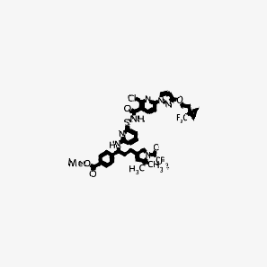 COC(=O)c1ccc(C(CCC2CN(C(=O)C(F)(F)F)C(C)(C)C2)Nc2cccc(SNC(=O)c3ccc(-n4ccc(OCCC5(C(F)(F)F)CC5)n4)nc3Cl)n2)cc1